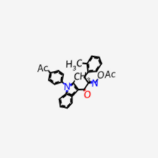 CC(=O)O/N=C(\Cc1ccccc1C)C(=O)c1c(C)n(-c2ccc(C(C)=O)cc2)c2ccccc12